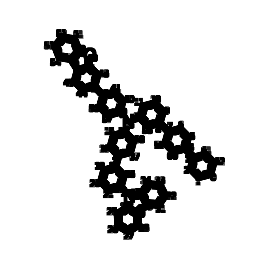 c1ccc(-c2ccc(-c3cccc(N(c4ccc(-c5cccc(-n6c7ccccc7c7ccccc76)c5)cc4)c4ccc(-c5ccc6c(c5)oc5ccccc56)cc4)c3)cc2)cc1